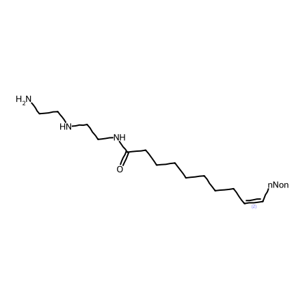 CCCCCCCCC/C=C\CCCCCCCC(=O)NCCNCCN